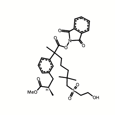 COC(=O)[C@H](C)Cc1cccc(C(C)(CCCC(C)(C)CS(=O)(=O)CCO)C(=O)ON2C(=O)c3ccccc3C2=O)c1